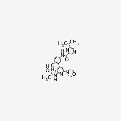 Cc1ccc(NC(=O)c2cncc(C(C)C)n2)cc1-c1cc(N[C@H](C)CO)nc(N2CCOCC2)c1